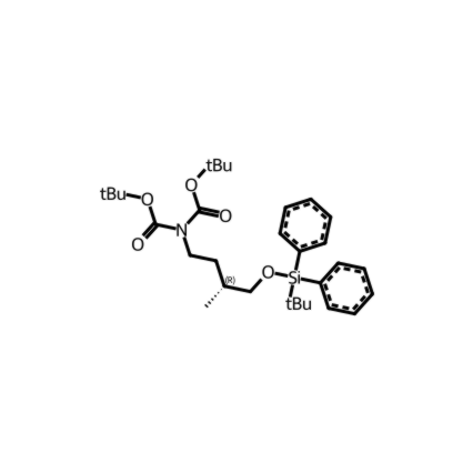 C[C@H](CCN(C(=O)OC(C)(C)C)C(=O)OC(C)(C)C)CO[Si](c1ccccc1)(c1ccccc1)C(C)(C)C